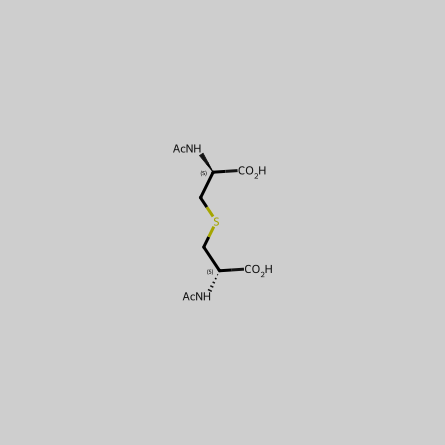 CC(=O)N[C@H](CSC[C@@H](NC(C)=O)C(=O)O)C(=O)O